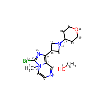 CO.C[N+]12C=CN=CC1=C(C1CN(C3CCOCC3)C1)N=C2Br